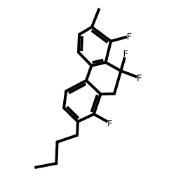 CCCCc1ccc2c(c1F)CC(F)(F)c1c-2ccc(C)c1F